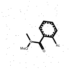 CON(C)C(=O)c1ccccc1C(C)=O